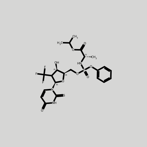 CC(C)OC(=O)[C@H](C)NP(=O)(OC[C@H]1O[C@@H](n2ccc(=O)[nH]c2=S)C(C(F)(F)F)[C@H]1O)Oc1ccccc1